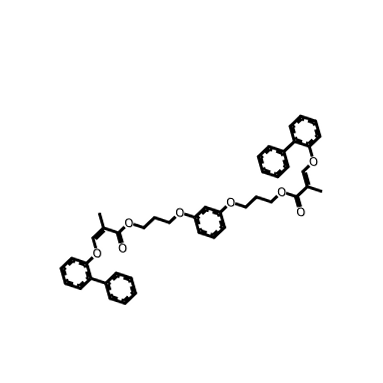 CC(=COc1ccccc1-c1ccccc1)C(=O)OCCCOc1cccc(OCCCOC(=O)C(C)=COc2ccccc2-c2ccccc2)c1